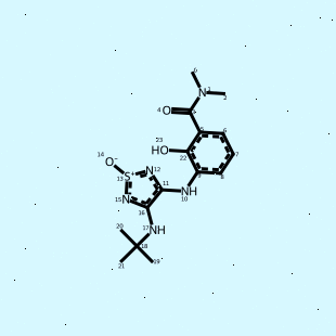 CN(C)C(=O)c1cccc(Nc2n[s+]([O-])nc2NC(C)(C)C)c1O